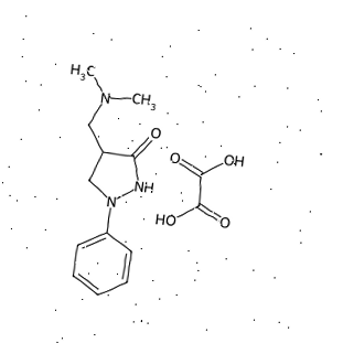 CN(C)CC1CN(c2ccccc2)NC1=O.O=C(O)C(=O)O